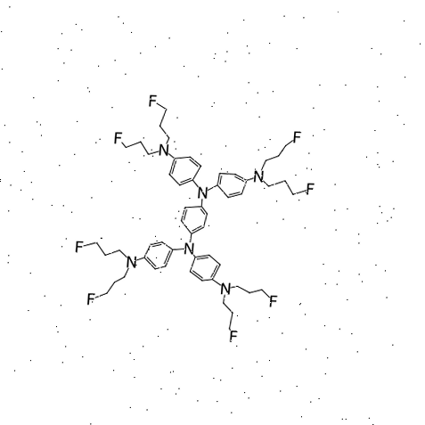 FCCCN(CCCF)c1ccc(N(c2ccc(N(CCCF)CCCF)cc2)c2ccc(N(c3ccc(N(CCCF)CCCF)cc3)c3ccc(N(CCCF)CCCF)cc3)cc2)cc1